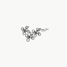 [O]=[Mn](=[O])(=[O])[O-].[O]=[Mn](=[O])(=[O])[O-].[O]=[Mn](=[O])(=[O])[O-].[Pm+3]